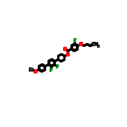 C=CCCOc1ccc(C(=O)OC2CCC(c3ccc(-c4ccc(OCC)cc4)c(F)c3F)CC2)cc1F